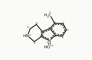 Cc1cccc2[nH]c3c(c12)CCNC3.Cl